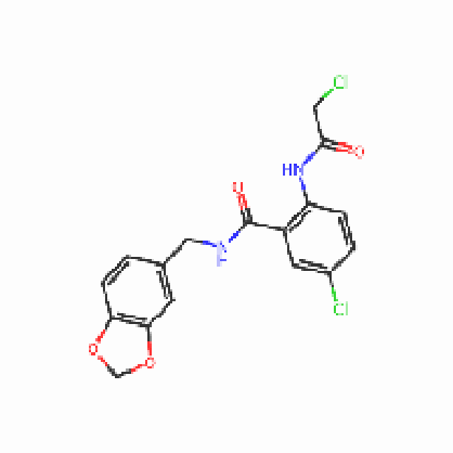 O=C(CCl)Nc1ccc(Cl)cc1C(=O)NCc1ccc2c(c1)OCO2